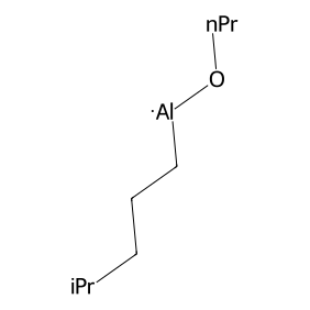 CCC[O][Al][CH2]CCC(C)C